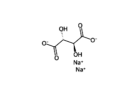 O=C([O-])[C@@H](O)[C@@H](O)C(=O)[O-].[Na+].[Na+]